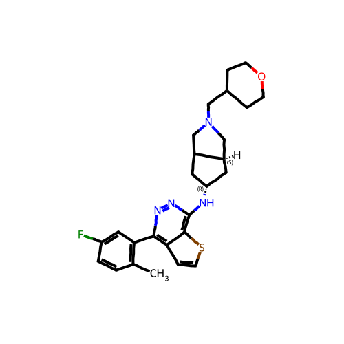 Cc1ccc(F)cc1-c1nnc(N[C@@H]2CC3CN(CC4CCOCC4)C[C@H]3C2)c2sccc12